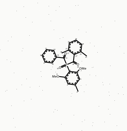 COc1cc(C)cc(OC)c1P(=O)(C(=O)c1ccccc1)C(=O)c1c(C)cccc1C